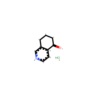 Cl.O=C1CCCc2cnccc21